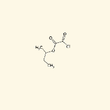 CCC(C)OC(=O)C(=O)Cl